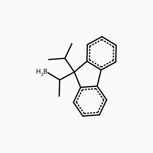 BC(C)C1(C(C)C)c2ccccc2-c2ccccc21